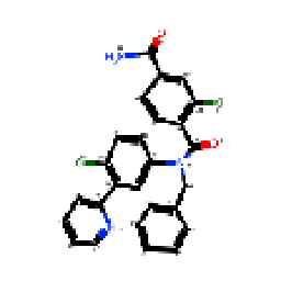 NC(=O)c1ccc(C(=O)N(Cc2ccccc2)c2ccc(Cl)c(-c3ccccn3)c2)c(Cl)c1